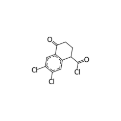 O=C1CCC(C(=O)Cl)c2cc(Cl)c(Cl)cc21